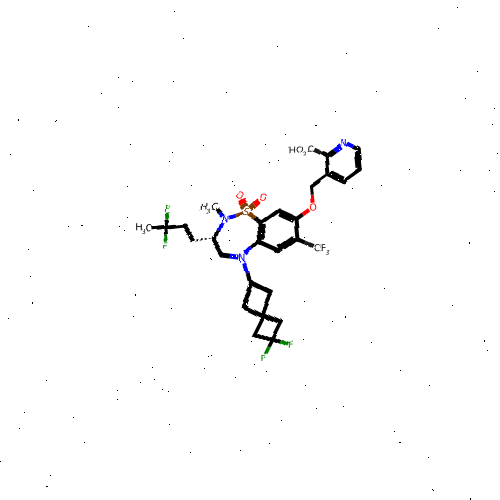 CN1[C@@H](CCC(C)(F)F)CN(C2CC3(C2)CC(F)(F)C3)c2cc(C(F)(F)F)c(OCc3cccnc3C(=O)O)cc2S1(=O)=O